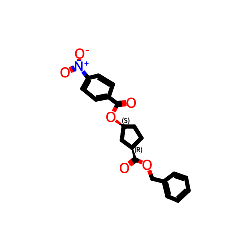 O=C(O[C@H]1CC[C@@H](C(=O)OCc2ccccc2)C1)c1ccc([N+](=O)[O-])cc1